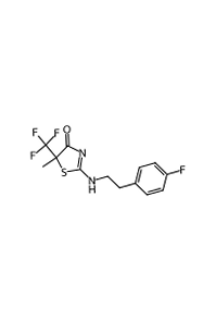 CC1(C(F)(F)F)SC(NCCc2ccc(F)cc2)=NC1=O